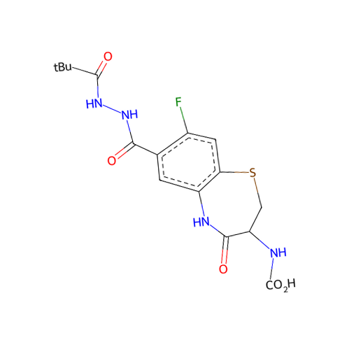 CC(C)(C)C(=O)NNC(=O)c1cc2c(cc1F)SCC(NC(=O)O)C(=O)N2